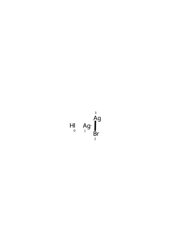 I.[Ag].[Br][Ag]